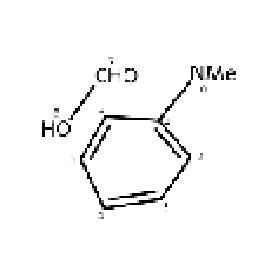 CNc1ccccc1.O=CO